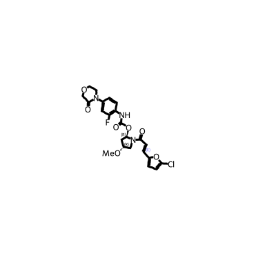 CO[C@@H]1C[C@@H](OC(=O)Nc2ccc(N3CCOCC3=O)cc2F)N(C(=O)/C=C/c2ccc(Cl)o2)C1